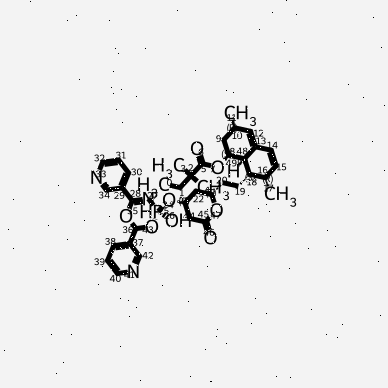 CCC(C)(C)C(=O)O[C@H]1C[C@@H](C)C=C2C=C[C@H](C)[C@H](CC[C@H]3C[C@@H](O[PH]4(O)N=C(c5cccnc5)OC(c5cccnc5)O4)CC(=O)O3)[C@H]21